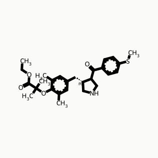 CCOC(=O)C(C)(C)Oc1c(C)cc(C[C@H]2CNCC2C(=O)c2ccc(SC)cc2)cc1C